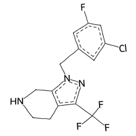 Fc1cc(Cl)cc(Cn2nc(C(F)(F)F)c3c2CNCC3)c1